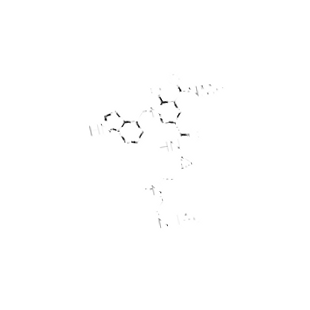 CNC(=O)c1cc(C(=O)N[C@H]2C[C@@H]2CCN(C)CCNC(C)=O)cn(Cc2cccc3[nH]ccc23)c1=O